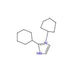 c1c[n+](C2CCCCC2)c(C2CCCCC2)[nH]1